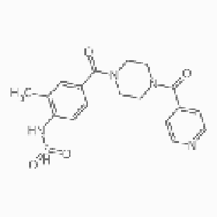 Cc1cc(C(=O)N2CCN(C(=O)c3ccncc3)CC2)ccc1N[SH](=O)=O